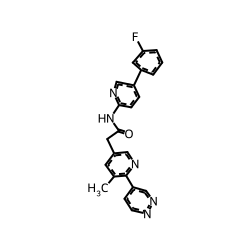 Cc1cc(CC(=O)Nc2ccc(-c3cccc(F)c3)cn2)cnc1-c1ccnnc1